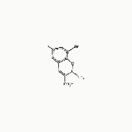 Cc1cc(Br)c2c(c1)C=C(C(=O)O)C(C(F)(F)F)O2